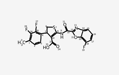 Cc1ccc(C2CSC(NC(=O)c3nc4cccc(F)c4o3)=C2C(=O)O)c(F)c1F